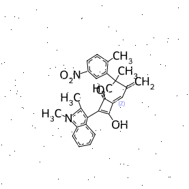 C=C(/C=C1\C(=O)C(c2c(C)n(C)c3ccccc23)=C1O)C(C)(C)c1cc([N+](=O)[O-])ccc1C